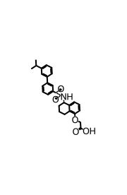 CC(C)c1cccc(-c2cccc(S(=O)(=O)N[C@@H]3CCCc4c(OCC(=O)O)cccc43)c2)c1